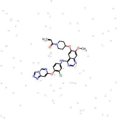 C=CC(=O)N1CCC(Oc2cc3c(Nc4ccc(Oc5cc6nncn6cn5)c(Cl)c4)ncnc3cc2OC)CC1